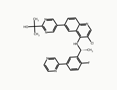 C[C@@H](Nc1c(Cl)cnc2ccc(-c3cnc(C(C)(C)O)nc3)cc12)c1cc(-c2cnccn2)ccc1F